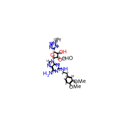 COc1ccc(CCNc2nc(N)c3ncn([C@@H]4O[C@H](c5nnn(C(C)C)n5)[C@@H](O)[C@H]4OC=O)c3n2)cc1OC